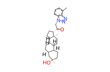 Cc1cccc2c1nnn2CC(=O)[C@H]1CC[C@H]2[C@@H]3CC[C@@H]4C[C@](C)(O)CC[C@@H]4[C@H]3CC[C@]12C